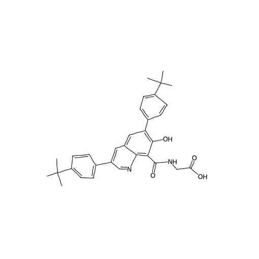 CC(C)(C)c1ccc(-c2cnc3c(C(=O)NCC(=O)O)c(O)c(-c4ccc(C(C)(C)C)cc4)cc3c2)cc1